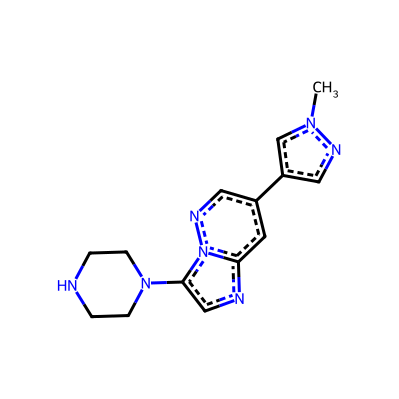 Cn1cc(-c2cnn3c(N4CCNCC4)cnc3c2)cn1